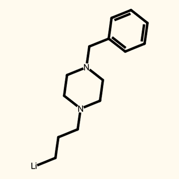 [Li][CH2]CCN1CCN(Cc2ccccc2)CC1